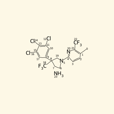 Cc1ccc(N2CCC(c3cc(Cl)c(Cl)c(Cl)c3)(C(F)(F)F)C2)nc1C(F)(F)F.N